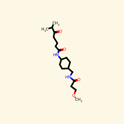 COCCC(=O)NCC1CCC(NC(=O)CCCC(=O)C(C)C)CC1